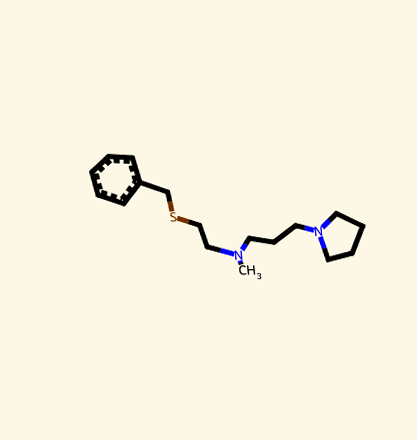 CN(CCCN1CCCC1)CCSCc1ccccc1